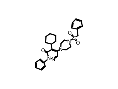 O=c1c(C2CCCCC2)c(N2CCN(S(=O)(=O)Cc3ccccc3)CC2)cnn1-c1ccccc1